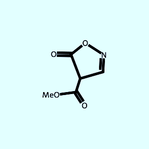 COC(=O)C1C=NOC1=O